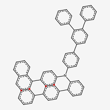 c1ccc(-c2ccc(-c3ccccc3N(c3ccc(-c4ccc(-c5ccccc5)c(-c5ccccc5)c4)cc3)c3ccc(-c4cccc5ccccc45)cc3)cc2)cc1